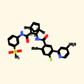 COc1cc(F)c(-c2cc(C(=O)O)ccn2)cc1C(=O)N[C@H]1[C@@H](C(=O)Nc2cccc(S(=O)(=O)C(F)(F)F)c2)[C@@H]2C=C[C@H]1C2